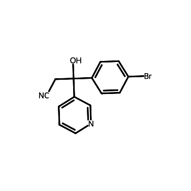 N#CCC(O)(c1ccc(Br)cc1)c1cccnc1